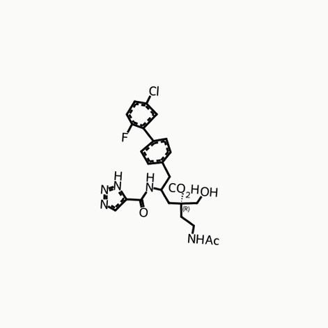 CC(=O)NCC[C@](CO)(CC(Cc1ccc(-c2cc(Cl)ccc2F)cc1)NC(=O)c1cnn[nH]1)C(=O)O